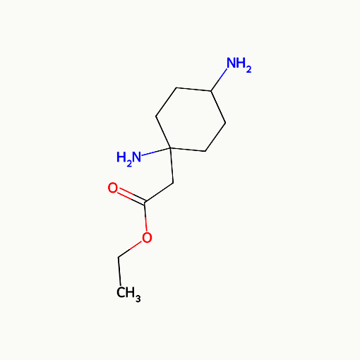 CCOC(=O)CC1(N)CCC(N)CC1